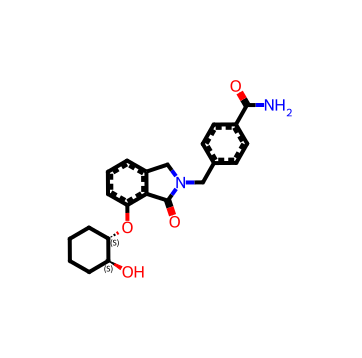 NC(=O)c1ccc(CN2Cc3cccc(O[C@H]4CCCC[C@@H]4O)c3C2=O)cc1